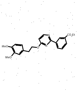 CCOC(=O)c1cccc(-c2nccc(OCCc3ccc(OC)c(OC)c3)n2)c1